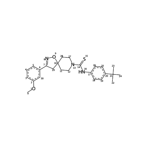 COc1cccc(C2=NOC3(CCN(C(=S)Nc4ccc(C(C)(C)C)cc4)CC3)C2)c1